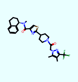 Cc1c(C(F)(F)F)nn(CC(=O)N2CCC(c3nc(C(=O)N(C)[C@@H]4CCCc5ccccc54)cs3)CC2)c1C